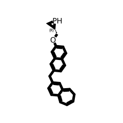 C1=CCC=c2cc(Cc3ccc4ccc(OC[C@@H]5CP5)cc4c3)ccc2=C1